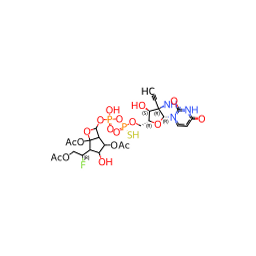 C#C[C@@]1(N)[C@H](O)[C@@H](COP(=O)(S)OP(=O)(O)OC2OC3(OC(C)=O)C2C(OC(C)=O)C(O)C3[C@@H](F)COC(C)=O)O[C@H]1n1ccc(=O)[nH]c1=O